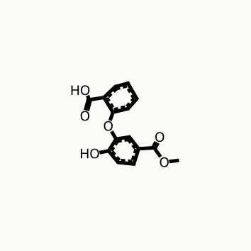 COC(=O)c1ccc(O)c(Oc2ccccc2C(=O)O)c1